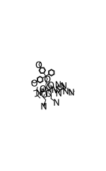 COc1ccc(C(OC[C@H]2O[C@@H](n3cnc4c(N=CN(C)C)ncnc43)[C@H](OCCC#N)[C@@H]2OP(OCCC#N)N(C(C)C)C(C)C)(c2ccccc2)c2ccc(OC)cc2)cc1